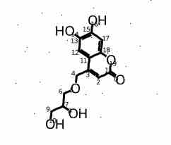 O=c1cc(COCC(O)CO)c2cc(O)c(O)cc2o1